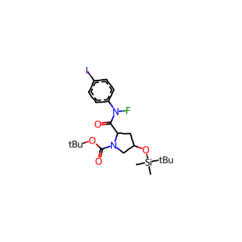 CC(C)(C)OC(=O)N1CC(O[Si](C)(C)C(C)(C)C)CC1C(=O)N(F)c1ccc(I)cc1